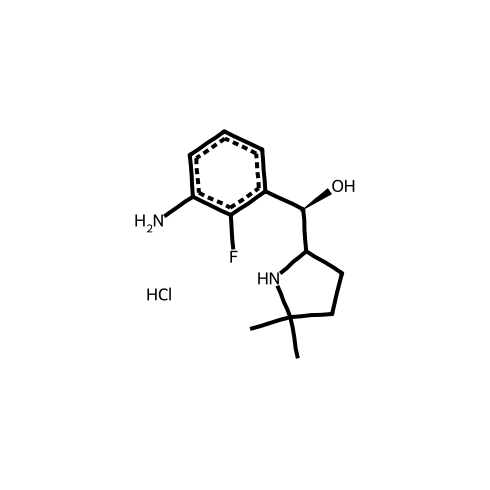 CC1(C)CCC([C@H](O)c2cccc(N)c2F)N1.Cl